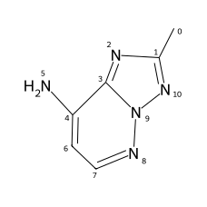 Cc1nc2c(N)ccnn2n1